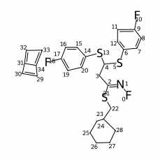 FN=C(CC(Sc1ccc(F)cc1)Sc1ccc(F)cc1)SCC1CCCCC1.c1cc2ccc1-2